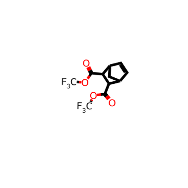 O=C(OC(F)(F)F)C1C2C=CC(C2)C1C(=O)OC(F)(F)F